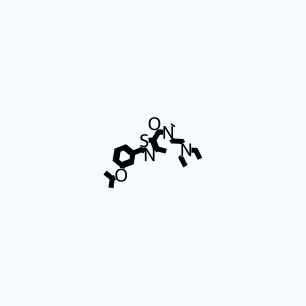 CCN(CC)CCN(C)C(=O)c1sc(-c2cccc(OC(C)C)c2)nc1C